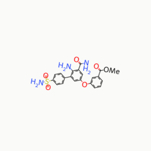 COC(=O)c1cccc(Oc2cc(C(N)=O)c(N)c(-c3ccc(S(N)(=O)=O)cc3)c2)c1